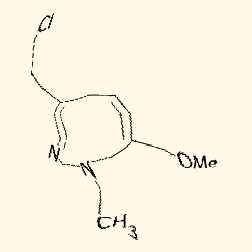 COc1cc(CCl)nn1C